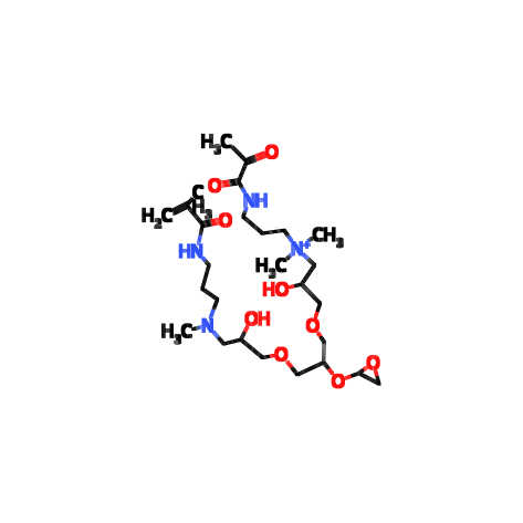 C=C(C)C(=O)NCCCN(C)CC(O)COCC(COCC(O)C[N+](C)(C)CCCNC(=O)C(C)=O)OC1CO1